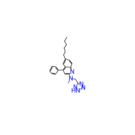 CCCCCCc1ccc2nc(N(C)Cc3nn[nH]n3)cc(-c3ccccc3)c2c1